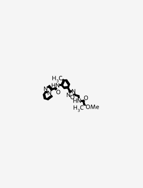 CO[C@@H](C)C(=O)NCc1nc(-c2ccc(C)c(NC(=O)c3cnc4ccccn34)c2)no1